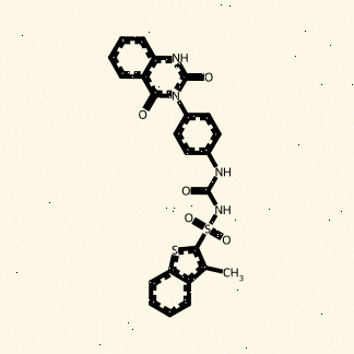 Cc1c(S(=O)(=O)NC(=O)Nc2ccc(-n3c(=O)[nH]c4ccccc4c3=O)cc2)sc2ccccc12